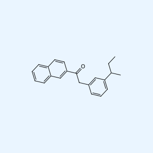 CCC(C)c1cccc(CC(=O)c2ccc3ccccc3c2)c1